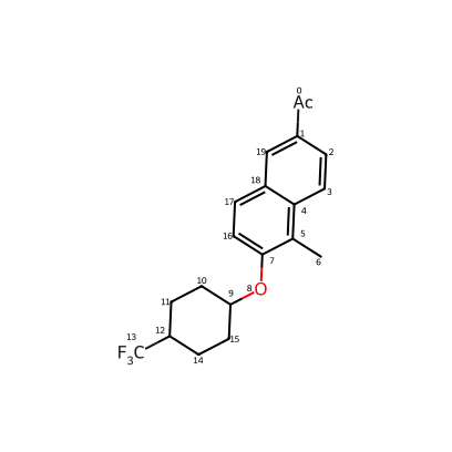 CC(=O)c1ccc2c(C)c(OC3CCC(C(F)(F)F)CC3)ccc2c1